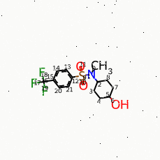 CN(C1CCC(O)CC1)S(=O)(=O)c1ccc(C(F)(F)F)cc1